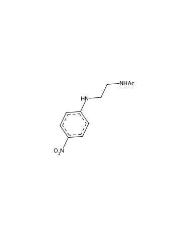 CC(=O)NCCNc1ccc([N+](=O)[O-])cc1